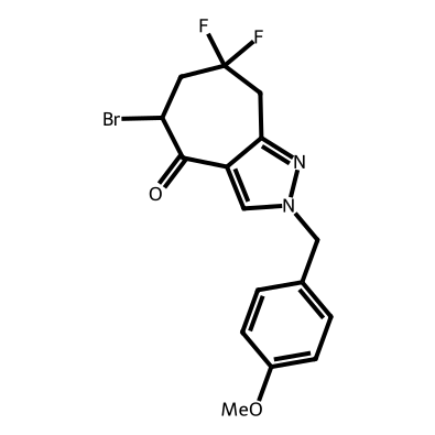 COc1ccc(Cn2cc3c(n2)CC(F)(F)CC(Br)C3=O)cc1